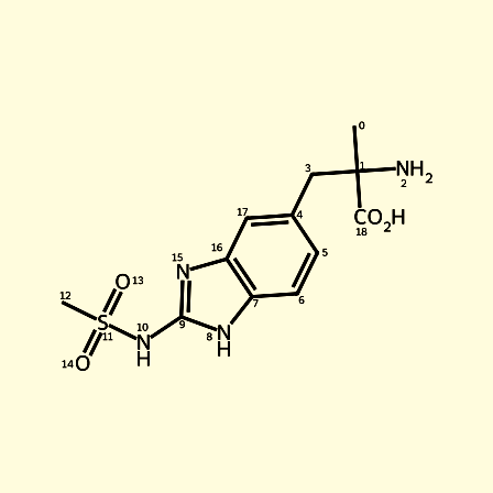 CC(N)(Cc1ccc2[nH]c(NS(C)(=O)=O)nc2c1)C(=O)O